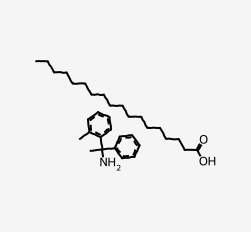 CCCCCCCCCCCCCCCCCC(=O)O.Cc1ccccc1C(C)(N)c1ccccc1